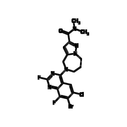 CN(C)C(=O)c1cc2n(n1)CCCN(c1nc(F)nc3c(F)c(Br)c(Cl)cc13)C2